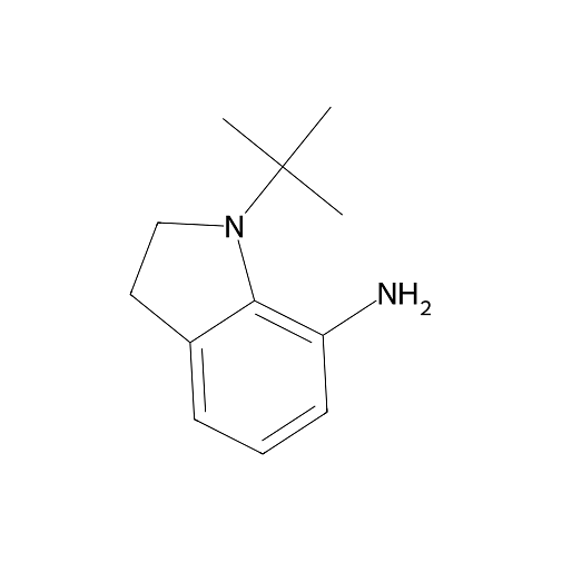 CC(C)(C)N1CCc2cccc(N)c21